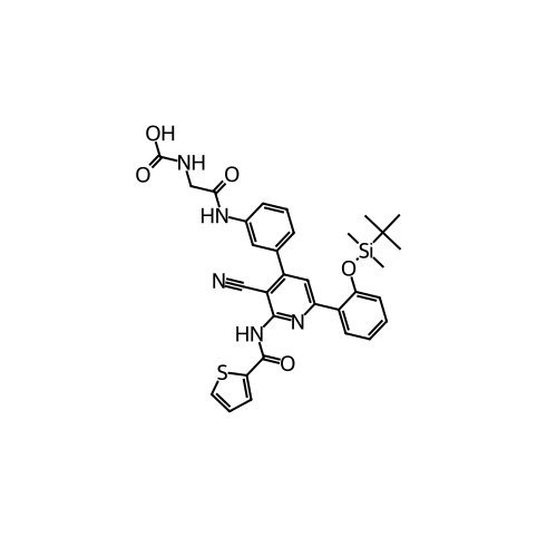 CC(C)(C)[Si](C)(C)Oc1ccccc1-c1cc(-c2cccc(NC(=O)CNC(=O)O)c2)c(C#N)c(NC(=O)c2cccs2)n1